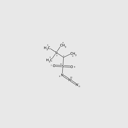 CC([Si](C)(C)C)S(=O)(=O)N=[N+]=[N-]